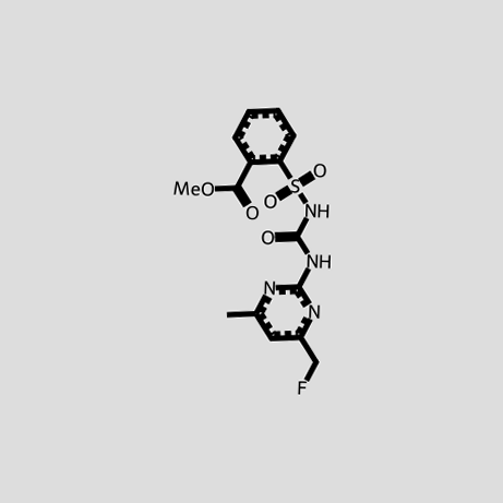 COC(=O)c1ccccc1S(=O)(=O)NC(=O)Nc1nc(C)cc(CF)n1